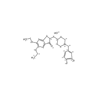 CCOc1cc2c(cc1OCC)C(=O)C(CC1CCN(Cc3ccc(F)c(F)c3)CC1)C2.Cl